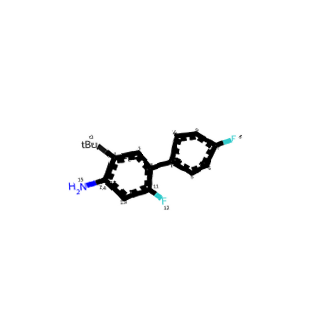 CC(C)(C)c1cc(-c2ccc(F)cc2)c(F)cc1N